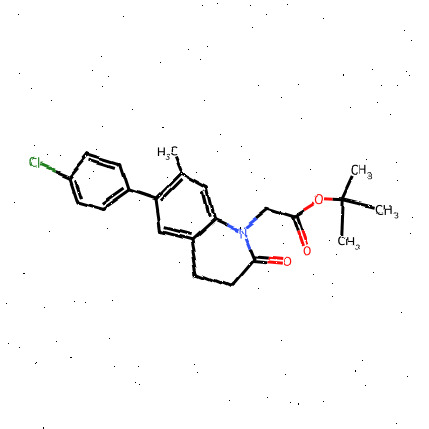 Cc1cc2c(cc1-c1ccc(Cl)cc1)CCC(=O)N2CC(=O)OC(C)(C)C